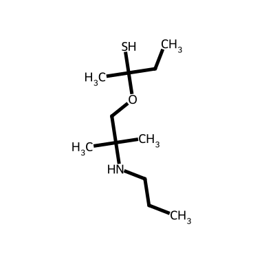 CCCNC(C)(C)COC(C)(S)CC